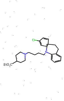 CCOC(=O)C1CCN(CCCCN2c3ccccc3CCc3ccc(Cl)cc32)CC1